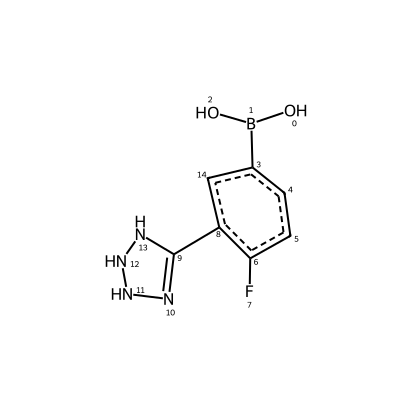 OB(O)c1ccc(F)c(C2=NNNN2)c1